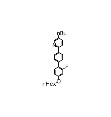 CCCCCCOc1ccc(-c2ccc(-c3ccc(CCCC)cn3)cc2)c(F)c1